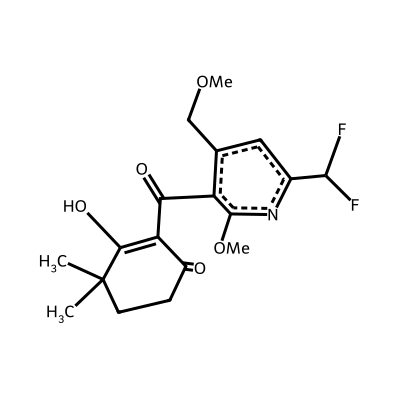 COCc1cc(C(F)F)nc(OC)c1C(=O)C1=C(O)C(C)(C)CCC1=O